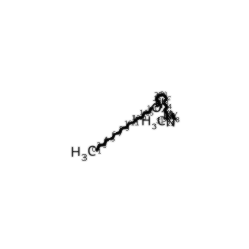 CCCCCCCCCCCCCCCCCON1CCCCC1CCn1ccnc1C